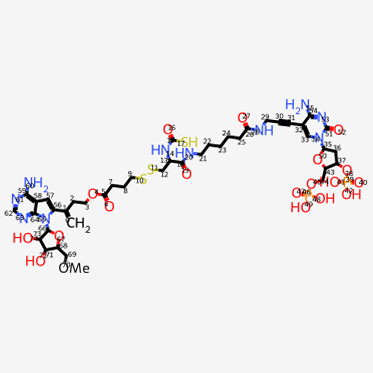 C=C(CCOC(=O)CCCSSCC(NC(=O)S)C(=O)NCCCCCC(=O)NCC#Cc1cn(C2CC(OP(=O)(O)O)C(COP(=O)(O)O)O2)c(=O)nc1N)c1cc2c(N)ncnc2n1C1OC(COC)C(O)C1O